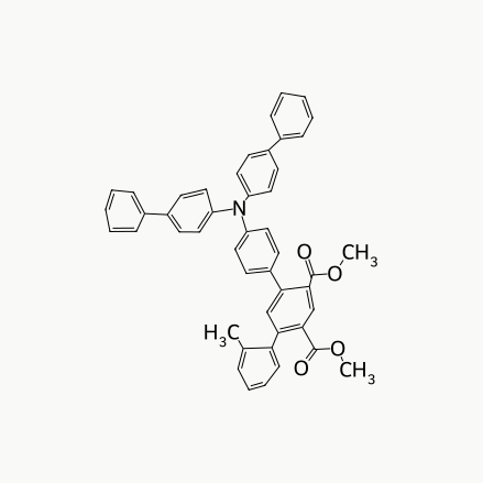 COC(=O)c1cc(C(=O)OC)c(-c2ccccc2C)cc1-c1ccc(N(c2ccc(-c3ccccc3)cc2)c2ccc(-c3ccccc3)cc2)cc1